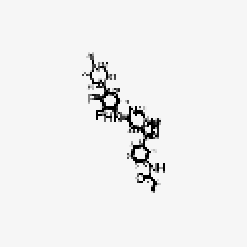 C=CC(=O)Nc1cccc(-c2nnn3cnc(Nc4ccc(N5CCN(C)CC5)c(F)c4F)cc23)c1